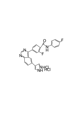 Cl.Cl.O=C(Nc1ccc(F)cc1)c1ccc(-c2ncnc3ccc(-c4cn[nH]c4)cc23)cc1F